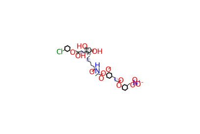 COc1cc(/C=C/C(=O)Oc2cccc(CO[N+](=O)[O-])c2)ccc1OC(=O)C(C)NC(=O)CCC/C=C\C[C@@H]1[C@@H](/C=C/[C@@H](O)COc2cccc(Cl)c2)[C@H](O)C[C@@H]1O